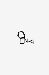 [c]1cccc2c1CCN2C1CC1